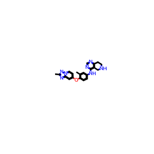 Cc1nc2cc(Oc3ccc(Nc4ncnc5c4CNCC5)cc3C)ccn2n1